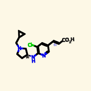 O=C(O)/C=C/c1cnc(N[C@@H]2CCN(CC3CC3)C2)c(Cl)c1